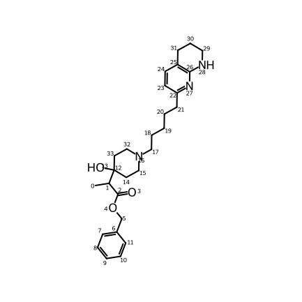 CC(C(=O)OCc1ccccc1)C1(O)CCN(CCCCCc2ccc3c(n2)NCCC3)CC1